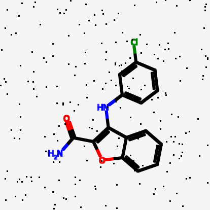 NC(=O)c1oc2ccccc2c1Nc1cccc(Cl)c1